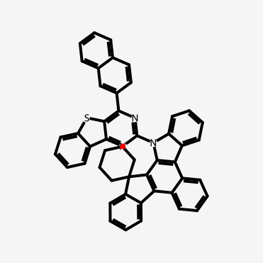 c1ccc2c(c1)-c1c(c3c(c4ccccc14)c1ccccc1n3-c1nc(-c3ccc4ccccc4c3)c3sc4ccccc4c3n1)C21CCCCC1